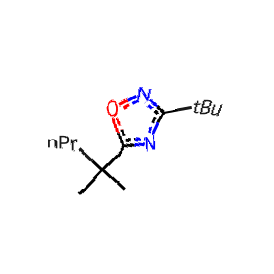 CCCC(C)(C)c1nc(C(C)(C)C)no1